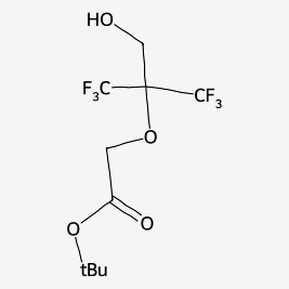 CC(C)(C)OC(=O)COC(CO)(C(F)(F)F)C(F)(F)F